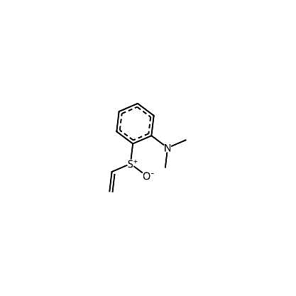 C=C[S+]([O-])c1ccccc1N(C)C